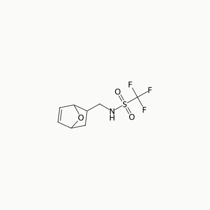 O=S(=O)(NCC1CC2C=CC1O2)C(F)(F)F